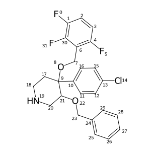 Fc1ccc(F)c(COC2(c3ccc(Cl)cc3)CCNCC2OCc2ccccc2)c1F